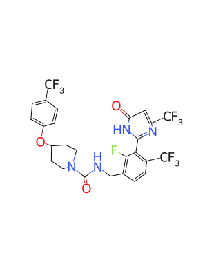 O=C(NCc1ccc(C(F)(F)F)c(-c2nc(C(F)(F)F)cc(=O)[nH]2)c1F)N1CCC(Oc2ccc(C(F)(F)F)cc2)CC1